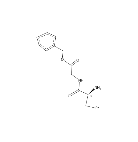 CC(C)C[C@H](N)C(=O)NCC(=O)OCc1ccccc1